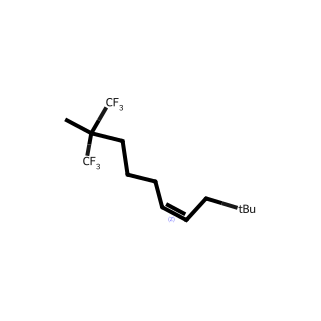 CC(C)(C)C/C=C\CCCC(C)(C(F)(F)F)C(F)(F)F